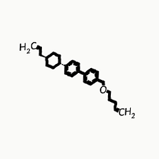 C=CCCCOCc1ccc(-c2ccc([C@H]3CC[C@H](CC=C)CC3)cc2)cc1